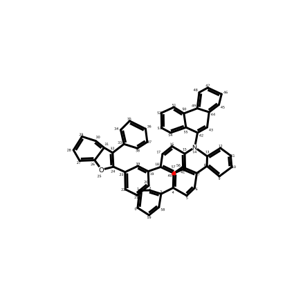 c1ccc(-c2ccc(-c3ccccc3N(c3ccc(-c4cccc(-c5oc6ccccc6c5-c5ccccc5)c4)cc3)c3cc4ccccc4c4ccccc34)cc2)cc1